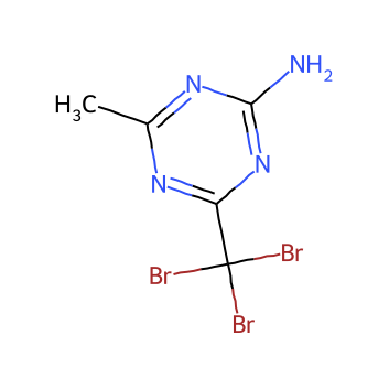 Cc1nc(N)nc(C(Br)(Br)Br)n1